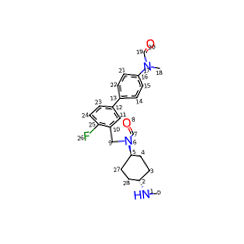 CN[C@H]1CC[C@H](N(C=O)Cc2cc(-c3ccc(N(C)C=O)cc3)ccc2F)CC1